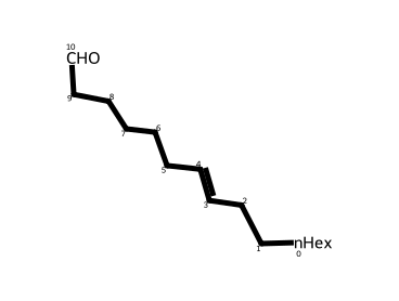 CCCCCCCC/C=C/CCCCCC=O